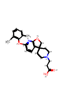 Cc1cccc(C)c1Oc1ccc2c(n1)OCC21CCN(CCC(=O)O)CC1